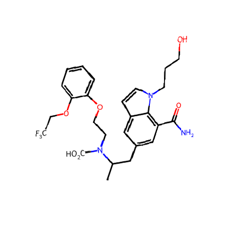 CC(Cc1cc(C(N)=O)c2c(ccn2CCCO)c1)N(CCOc1ccccc1OCC(F)(F)F)C(=O)O